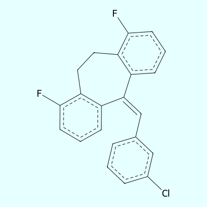 Fc1cccc2c1CCc1c(F)cccc1C2=Cc1cccc(Cl)c1